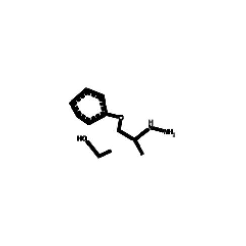 CC(COc1ccccc1)NN.CCO